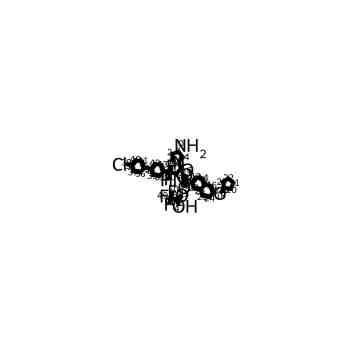 N[C@H]1CCN(C(=O)[C@@H](NS(=O)(=O)c2ccc3cc(OC4CCCC4)ccc3c2)C(F)(F)c2ccc(-c3ccc(Cl)cc3)cc2)C1.O=C(O)C(F)(F)F